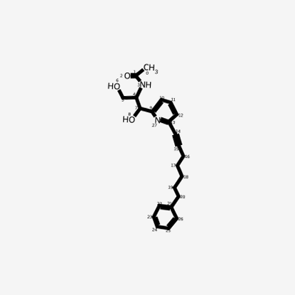 CC(=O)NC(CO)C(O)c1cccc(C#CCCCCCc2ccccc2)n1